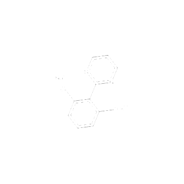 O=C([O-])c1cccc(Cl)c1-c1ncccn1.[Na+]